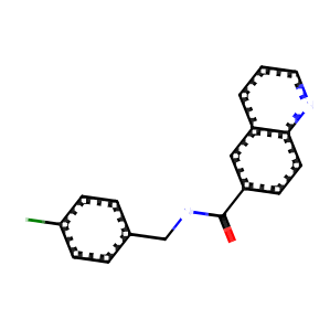 O=C(NCc1ccc(Cl)cc1)c1ccc2ncccc2c1